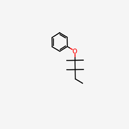 CCC(C)(C)C(C)(C)Oc1ccccc1